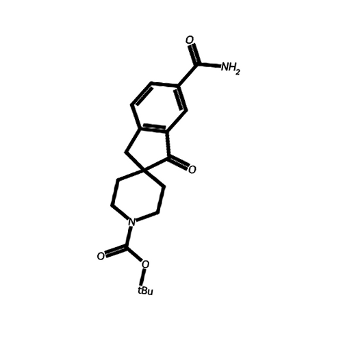 CC(C)(C)OC(=O)N1CCC2(CC1)Cc1ccc(C(N)=O)cc1C2=O